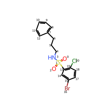 O=S(=O)(NCCCc1ccccc1)c1cc(Br)ccc1Cl